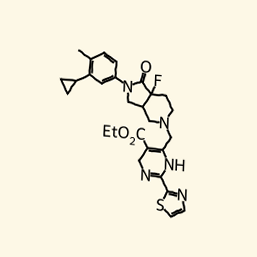 CCOC(=O)C1=C(CN2CCC3(F)C(=O)N(c4ccc(C)c(C5CC5)c4)CC3C2)NC(c2nccs2)=NC1